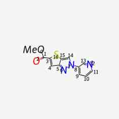 COC(=O)c1cc2nn(-c3cccnc3)cc2s1